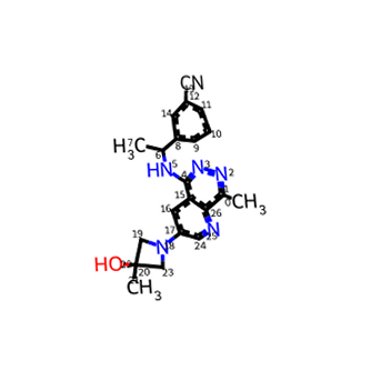 Cc1nnc(NC(C)c2cccc(C#N)c2)c2cc(N3CC(C)(O)C3)cnc12